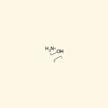 CC.CO.N